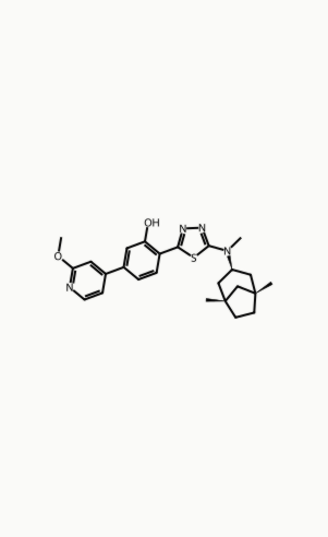 COc1cc(-c2ccc(-c3nnc(N(C)[C@H]4C[C@]5(C)CC[C@](C)(C4)C5)s3)c(O)c2)ccn1